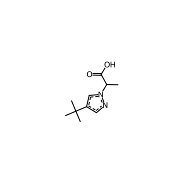 CC(C(=O)O)n1cc(C(C)(C)C)cn1